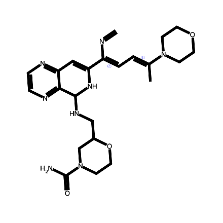 C=N/C(=C\C=C(/C)N1CCOCC1)C1=Cc2nccnc2C(NCC2CN(C(N)=O)CCO2)N1